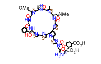 C=C(CN(C(=O)O[C@H]1CC[C@H](C(=O)O)CC1)c1csc(-c2ccc3c(n2)-c2csc(n2)-c2csc(n2)[C@H]([C@@H](O)c2ccccc2)NC(=O)CNC(=O)c2nc(sc2COC)C(C(C)C)NC(=O)c2nc(sc2C)[C@H](CC(=O)NC)NC(=O)c2csc-3n2)n1)O/C(=C\N)C(=O)O